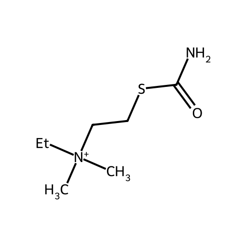 CC[N+](C)(C)CCSC(N)=O